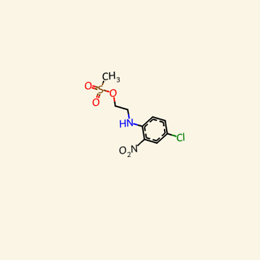 CS(=O)(=O)OCCNc1ccc(Cl)cc1[N+](=O)[O-]